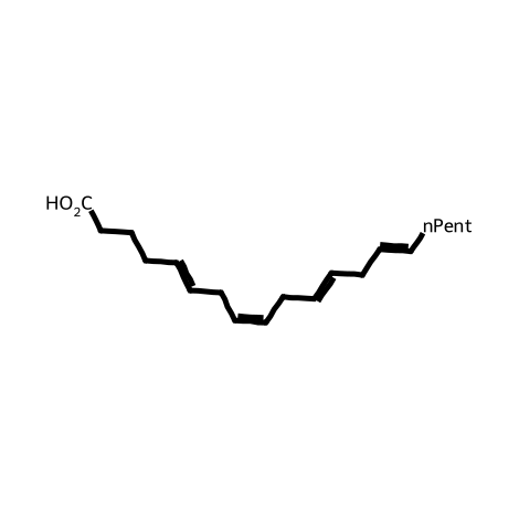 CCCCC/C=C/C/C=C/C/C=C\C/C=C/CCCC(=O)O